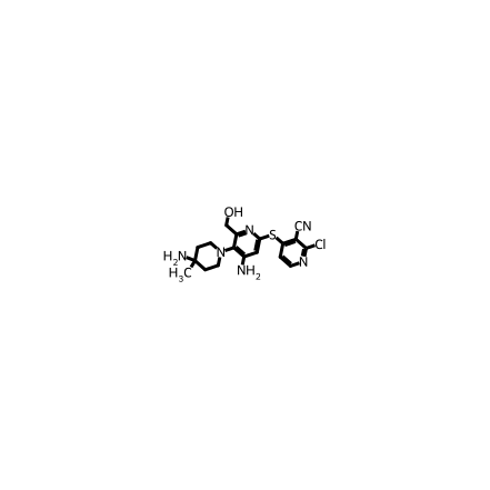 CC1(N)CCN(c2c(N)cc(Sc3ccnc(Cl)c3C#N)nc2CO)CC1